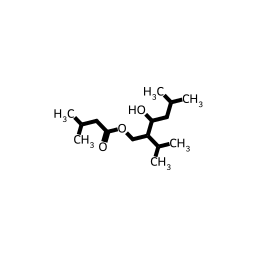 CC(C)CC(=O)OCC(C(C)C)C(O)CC(C)C